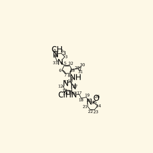 CN1CCN(c2ccc(Nc3ncc(Cl)c(NCCCN4CCCCC4=O)n3)c(C3CC3)c2)CC1